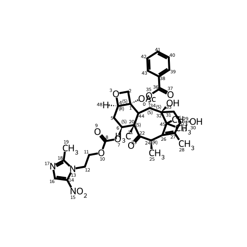 CC(=O)O[C@@]12CO[C@@H]1C[C@H](OC(=O)OCCn1c([N+](=O)[O-])cnc1C)[C@@]1(C)C(=O)[C@H](C)C3=C(C)[C@@H](O)C[C@@](O)([C@@H](OC(=O)c4ccccc4)C12)C3(C)C